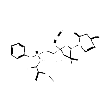 CC(C)OC(=O)C(C)NP(=O)(OC[C@@]1(N=[N+]=[N-])O[C@@H](N2C=CC(=O)CC2=O)C(F)(F)[C@@H]1O)Oc1ccccc1